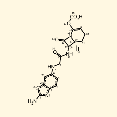 Nc1nc2ccc(NCC(=O)N[C@@H]3C(=O)N4C(OC(=O)O)=CCC[C@@H]34)cc2s1